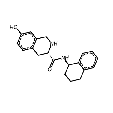 O=C(N[C@@H]1CCCc2ccccc21)[C@@H]1Cc2ccc(O)cc2CN1